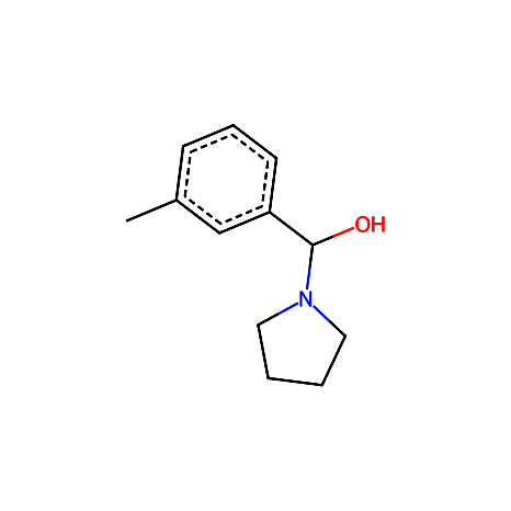 Cc1cccc(C(O)N2CCCC2)c1